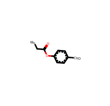 CC(C)(C)CC(=O)Oc1ccc(C=O)cc1